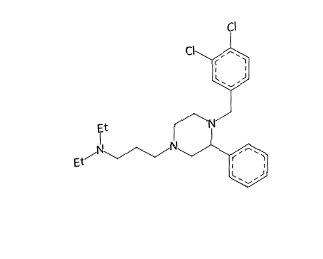 CCN(CC)CCCN1CCN(Cc2ccc(Cl)c(Cl)c2)C(c2ccccc2)C1